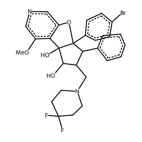 COc1cncc2c1C1(O)C(O)C(CN3CCC(F)(F)CC3)C(c3ccccc3)C1(c1ccc(Br)cc1)O2